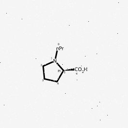 CCCN1CCC[C@@H]1C(=O)O